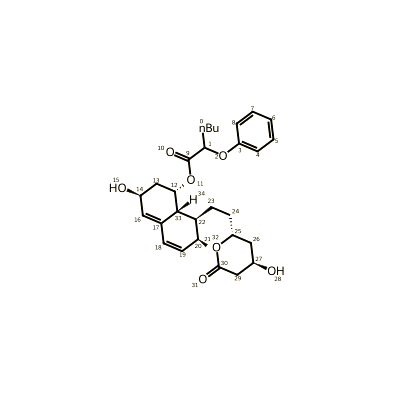 CCCCC(Oc1ccccc1)C(=O)O[C@H]1C[C@H](O)C=C2C=C[C@H](C)[C@H](CC[C@@H]3C[C@@H](O)CC(=O)O3)[C@H]21